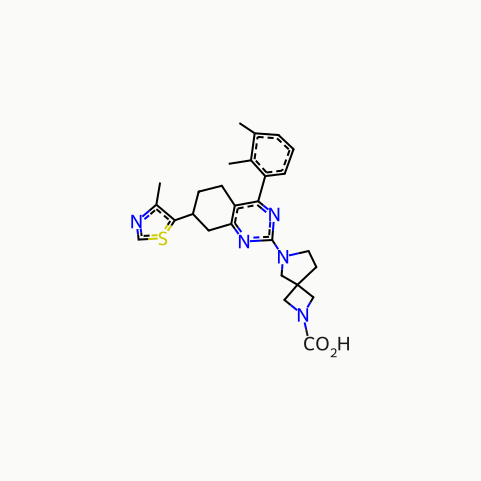 Cc1cccc(-c2nc(N3CCC4(CN(C(=O)O)C4)C3)nc3c2CCC(c2scnc2C)C3)c1C